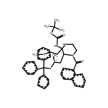 COCCC1(NC(=O)OC(C)(C)C)NCCN(C(=O)c2cccc3ccccc23)C1C[C@H](C)SC(c1ccccc1)(c1ccccc1)c1ccccc1